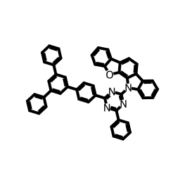 c1ccc(-c2cc(-c3ccccc3)cc(-c3ccc(-c4nc(-c5ccccc5)nc(-n5c6ccccc6c6ccc7c8ccccc8oc7c65)n4)cc3)c2)cc1